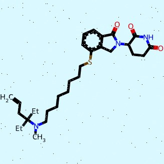 C=CCC(CC)(CC)N(C)CCCCCCCCSc1cccc2c1CN(C1CCC(=O)NC1=O)C2=O